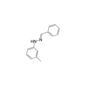 Cc1cccc(NN=Cc2ccccc2)c1